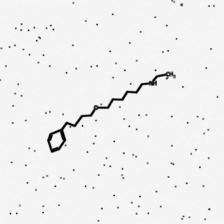 CCNCCCCCCOCCCCc1ccccc1